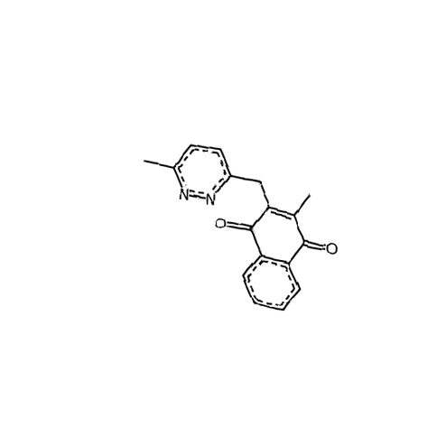 CC1=C(Cc2ccc(C)nn2)C(=O)c2ccccc2C1=O